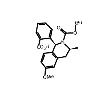 COc1ccc2c(c1)C[C@H](C)N(C(=O)OC(C)(C)C)[C@@H]2c1ccccc1C(=O)O